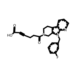 O=C(O)C#CCCC(=O)N1CCc2c(n(Cc3cccc(F)c3)c3ncccc23)C1